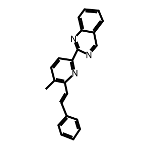 Cc1ccc(-c2ncc3ccccc3n2)nc1/C=C/c1ccccc1